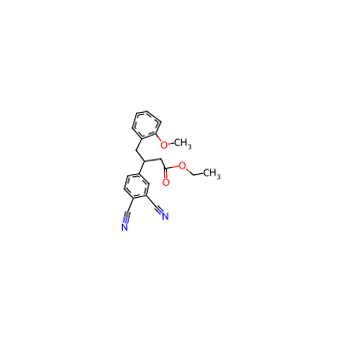 CCOC(=O)CC(Cc1ccccc1OC)c1ccc(C#N)c(C#N)c1